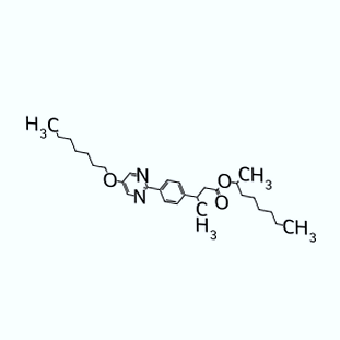 CCCCCCCOc1cnc(-c2ccc(C(C)CC(=O)OC(C)CCCCCC)cc2)nc1